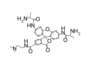 CC(N)C(=O)Nc1ccc2c(c1)Oc1cc(NC(=O)C(C)N)ccc1C21OC(=O)c2cc(C(=O)NCCN(C)C)ccc21